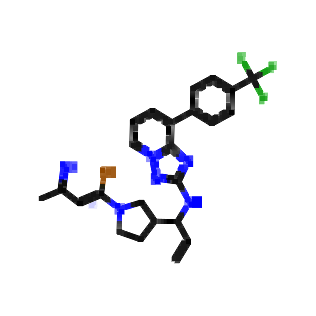 C=CC(Nc1nc2c(-c3ccc(C(F)(F)F)cc3)cccn2n1)C1CCN(/C(S)=C/C(C)=N)C1